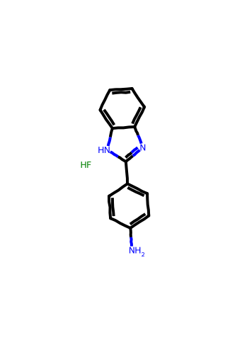 F.Nc1ccc(-c2nc3ccccc3[nH]2)cc1